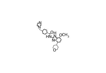 COc1ccc(C2CCOCC2)c2nc(NC(=O)c3ccc(Cn4ccnc4)cc3)[nH]c12